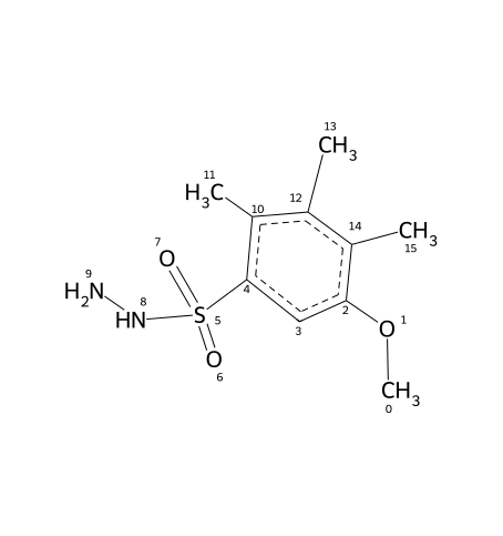 COc1cc(S(=O)(=O)NN)c(C)c(C)c1C